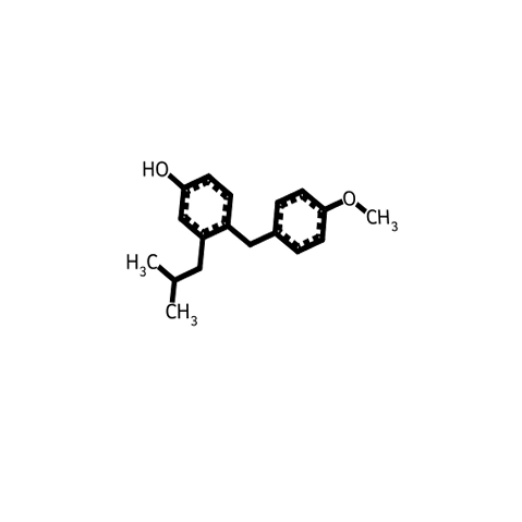 COc1ccc(Cc2ccc(O)cc2CC(C)C)cc1